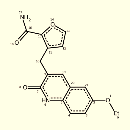 CCOc1ccc2[nH]c(=O)c(Cc3ccoc3C(N)=O)cc2c1